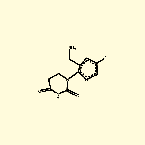 NCc1cc(F)cnc1N1CCC(=O)NC1=O